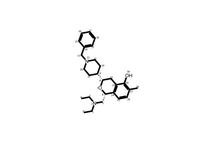 CCN(CC)C[C@@H]1O[C@H](C2CCN(Cc3ccccc3)CC2)Cc2c1ccc(C)c2O